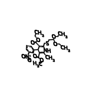 CCOC(=O)C1=C(CSCC(OCC)OCC)NC(C)=C(C(=O)OC)C1c1cccc([N+](=O)[O-])c1